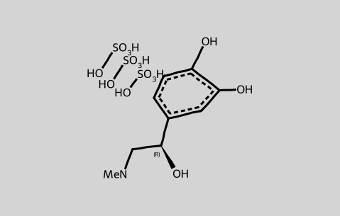 CNC[C@H](O)c1ccc(O)c(O)c1.O=S(=O)(O)O.O=S(=O)(O)O.O=S(=O)(O)O